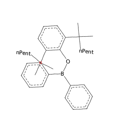 CCCCCC(C)(C)c1cccc(C(C)(C)CCCCC)c1OB(c1ccccc1)c1ccccc1